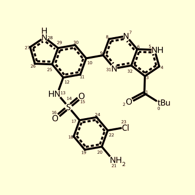 CC(C)(C)C(=O)c1c[nH]c2ncc(-c3cc(NS(=O)(=O)c4ccc(N)c(Cl)c4)c4cc[nH]c4c3)nc12